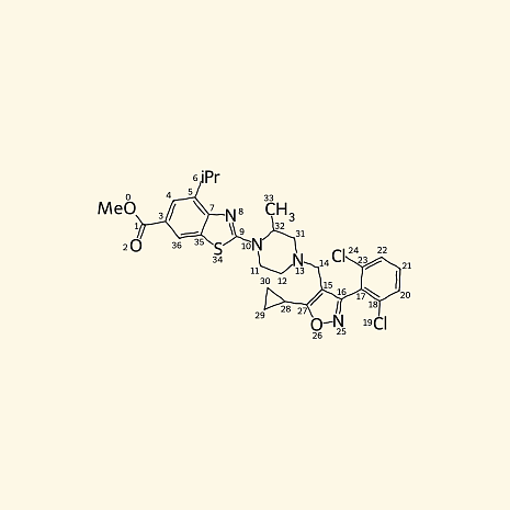 COC(=O)c1cc(C(C)C)c2nc(N3CCN(Cc4c(-c5c(Cl)cccc5Cl)noc4C4CC4)CC3C)sc2c1